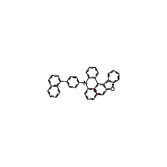 c1ccc(N(c2ccc(-c3cccc4ccccc34)cc2)c2ccccc2-c2cccc3oc4ccccc4c23)cc1